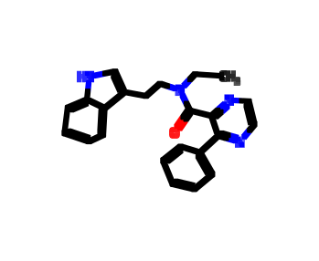 CCN(CCc1c[nH]c2ccccc12)C(=O)c1nccnc1-c1ccccc1